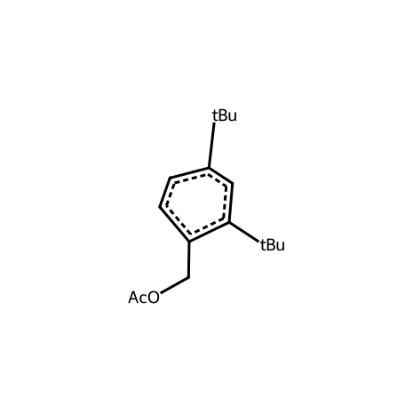 CC(=O)OCc1ccc(C(C)(C)C)cc1C(C)(C)C